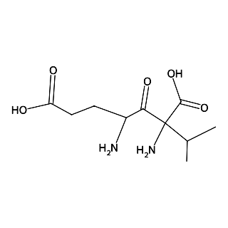 CC(C)C(N)(C(=O)O)C(=O)C(N)CCC(=O)O